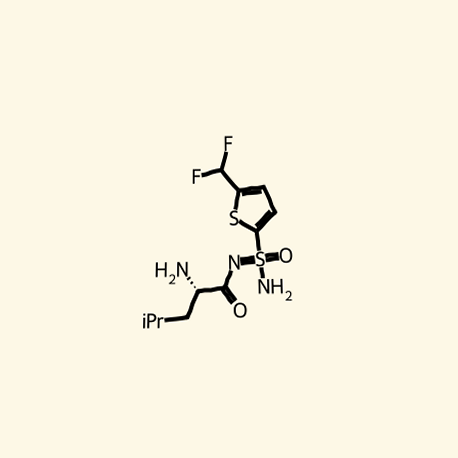 CC(C)C[C@H](N)C(=O)N=S(N)(=O)c1ccc(C(F)F)s1